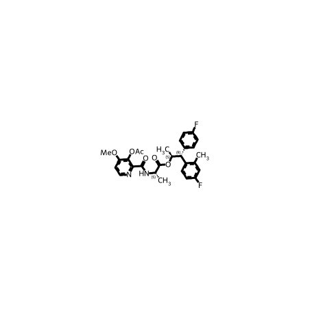 COc1ccnc(C(=O)N[C@@H](C)C(=O)O[C@@H](C)[C@H](c2ccc(F)cc2)c2ccc(F)cc2C)c1OC(C)=O